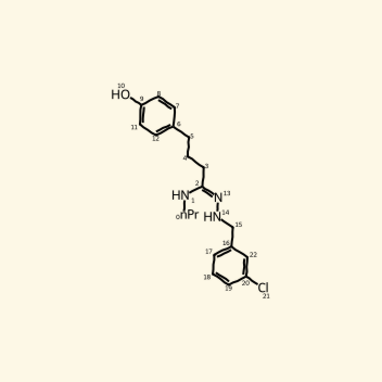 CCCN/C(CCCc1ccc(O)cc1)=N\NCc1cccc(Cl)c1